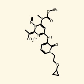 C=NN1C(N(C)C(=O)OC(C)(C)C)=CC(Nc2cccn(CCOC3CC3)c2=O)=N/C1=C(/C)C(=O)OCC